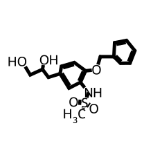 CS(=O)(=O)Nc1cc(CC(O)CO)ccc1OCc1ccccc1